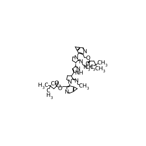 CCN=C1C(c2cc([C@H]3CCN(c4c(COC(=O)CC(C)(C)C)ncc5c4C5)C3=NCC)n[nH]2)CCN1c1c(COC(=O)CC(C)(C)C)ncc2c1C2